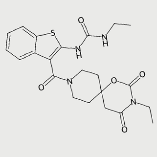 CCNC(=O)Nc1sc2ccccc2c1C(=O)N1CCC2(CC1)CC(=O)N(CC)C(=O)O2